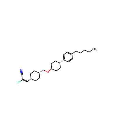 CCCCCc1ccc([C@H]2CC[C@H](OC[C@H]3CC[C@H](/C=C(/F)C#N)CC3)CC2)cc1